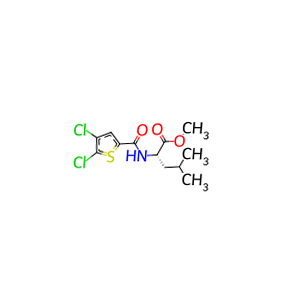 COC(=O)[C@H](CC(C)C)NC(=O)c1cc(Cl)c(Cl)s1